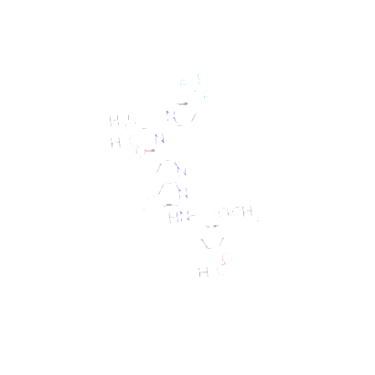 COc1ccc(CNc2nc3ncc(C(=O)N(Cc4ccc(C(F)(F)F)cn4)CC(C)C)cc3c3c2CCC3)c(OC)c1